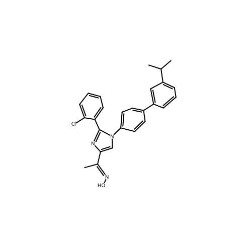 CC(=NO)c1cn(-c2ccc(-c3cccc(C(C)C)c3)cc2)c(-c2ccccc2Cl)n1